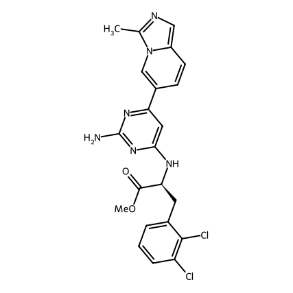 COC(=O)[C@H](Cc1cccc(Cl)c1Cl)Nc1cc(-c2ccc3cnc(C)n3c2)nc(N)n1